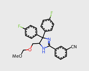 COCOCC1NC(c2cccc(C#N)c2)=NC1(c1ccc(F)cc1)c1ccc(F)cc1